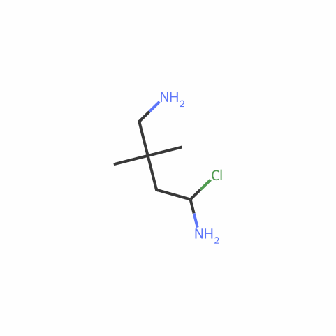 CC(C)(CN)CC(N)Cl